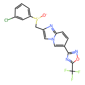 [O-][S+](Cc1cn2cc(-c3noc(C(F)(F)F)n3)ccc2n1)c1cccc(Cl)c1